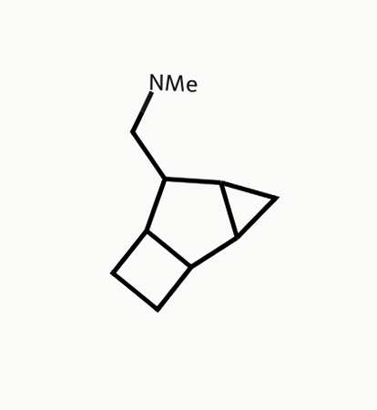 CNCC1C2CCC2C2CC12